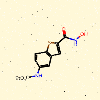 CCOC(=O)Nc1ccc2sc(C(=O)NO)cc2c1